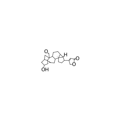 C[C@@]12CCC3C(CC[C@@]45CC(O)CC4CC35C=O)C13CCC(C1=CC(=O)OC1)[C@H]32